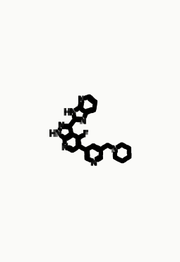 Fc1c(-c2cncc(CN3CCCCC3)c2)cnc2[nH]nc(-c3nc4cccnc4[nH]3)c12